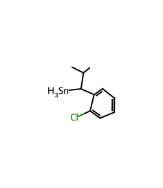 CC(C)[CH]([SnH3])c1ccccc1Cl